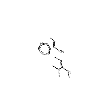 CC=NO.CN=C(NC)N(C)C.c1ccncc1